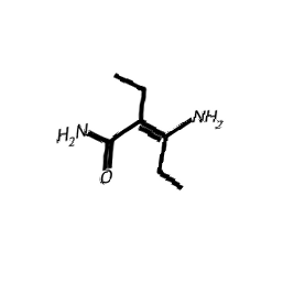 CCC(N)=C(CC)C(N)=O